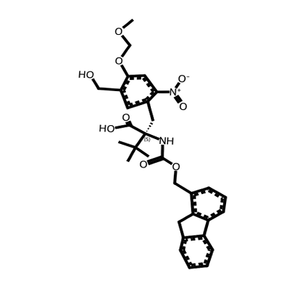 COCOc1cc([N+](=O)[O-])c(C[C@@](NC(=O)OCc2cccc3c2Cc2ccccc2-3)(C(=O)O)C(C)(C)C)cc1CO